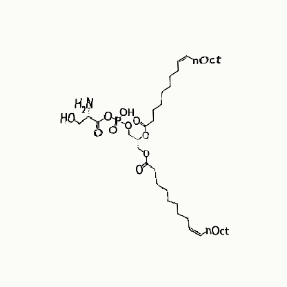 CCCCCCCC/C=C\CCCCCCCC(=O)OC[C@H](COP(=O)(O)OC(=O)[C@@H](N)CO)OC(=O)CCCCCCC/C=C\CCCCCCCC